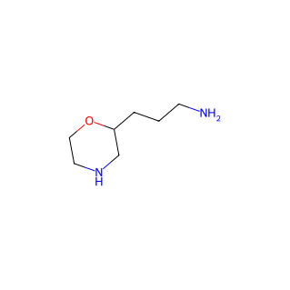 NCCCC1CNCCO1